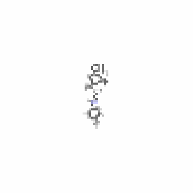 Cc1cc(F)c(/C=N/N=C/c2ccc(F)cc2)c(F)c1